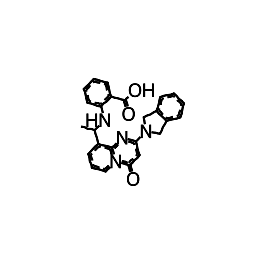 CC(Nc1ccccc1C(=O)O)c1cccn2c(=O)cc(N3Cc4ccccc4C3)nc12